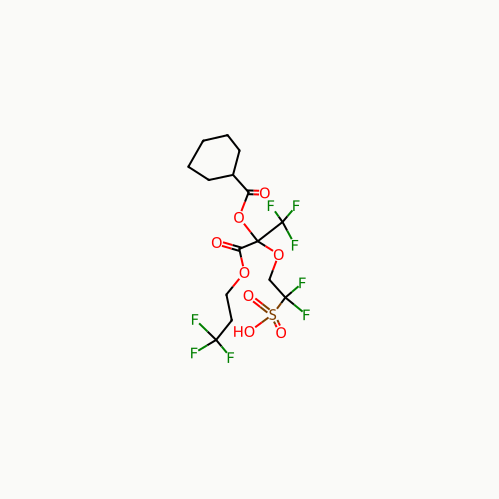 O=C(OC(OCC(F)(F)S(=O)(=O)O)(C(=O)OCCC(F)(F)F)C(F)(F)F)C1CCCCC1